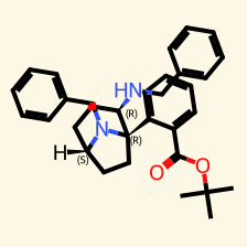 CC(C)(C)OC(=O)c1ccccc1[C@]12CC[C@H](CC[C@H]1NCc1ccccc1)N2Cc1ccccc1